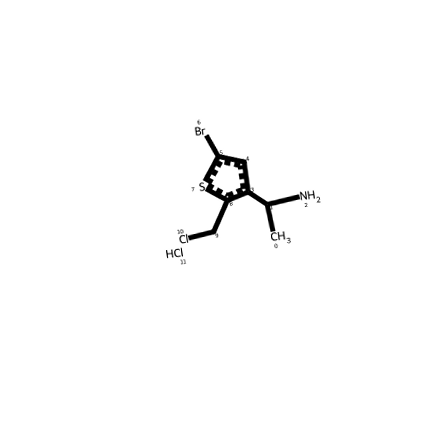 CC(N)c1cc(Br)sc1CCl.Cl